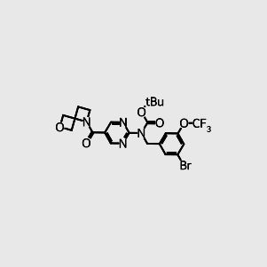 CC(C)(C)OC(=O)N(Cc1cc(Br)cc(OC(F)(F)F)c1)c1ncc(C(=O)N2CCC23COC3)cn1